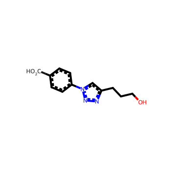 O=C(O)c1ccc(-n2cc(CCCO)nn2)cc1